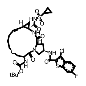 CC(C)(C)OC(=O)N[C@H]1CCCCC/C=C\[C@@H]2C[C@@]2(C(=O)NS(=O)(=O)C2CC2)NC(=O)[C@@H]2C[C@@H](NC(=O)c3sc4cc(F)ccc4c3Cl)CN2C1=O